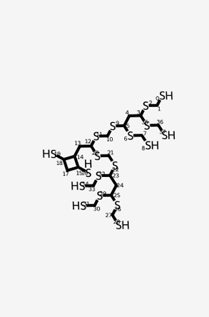 SCSC(CC(SCS)SCSC(CC1C(S)CC1S)SCSC(CC(SCS)SCS)SCS)SCS